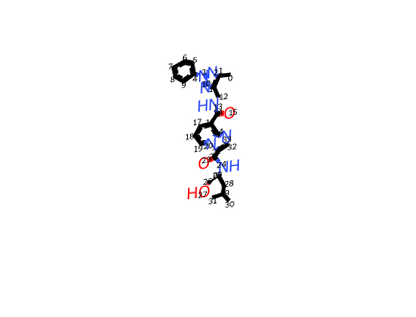 Cc1nn(-c2ccccc2)nc1CNC(=O)c1cccn2c(C(=O)N[C@H](CO)CC(C)C)cnc12